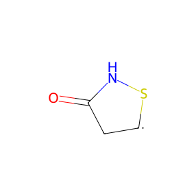 O=C1C[CH]SN1